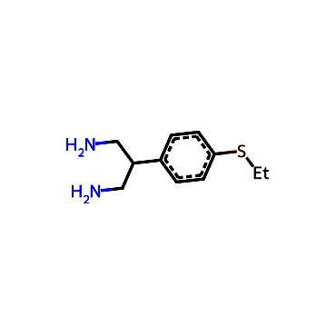 CCSc1ccc(C(CN)CN)cc1